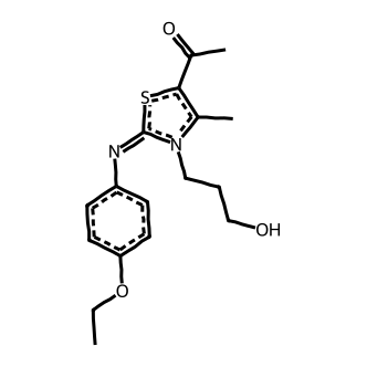 CCOc1ccc(/N=c2/sc(C(C)=O)c(C)n2CCCO)cc1